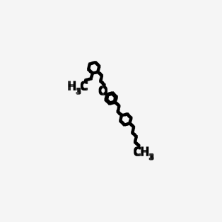 CCCCCCC1CCC(CCc2ccc(OCCCC3CCCCC3CCC)cc2)CC1